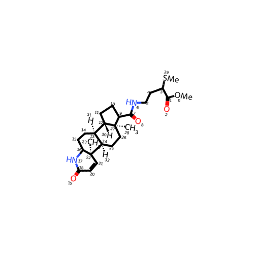 COC(=O)C(CCNC(=O)C1CC[C@H]2[C@@H]3CCC4NC(=O)C=C[C@]4(C)[C@@H]3CC[C@]12C)SC